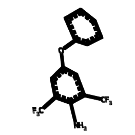 Nc1c(C(F)(F)F)cc(Oc2ccccc2)cc1C(F)(F)F